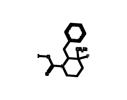 CCOC(=O)C1(F)CCCN(C(=O)OI)C1Cc1ccccc1